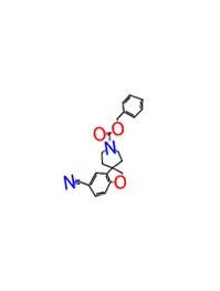 N#Cc1ccc2c(c1)C1(CCN(C(=O)OCc3ccccc3)CC1)CO2